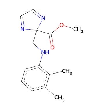 COC(=O)C1(CNc2cccc(C)c2C)N=CC=N1